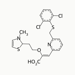 CN1C=CSC1CCOC(=Cc1cccc(CSc2c(Cl)cccc2Cl)n1)C(=O)O